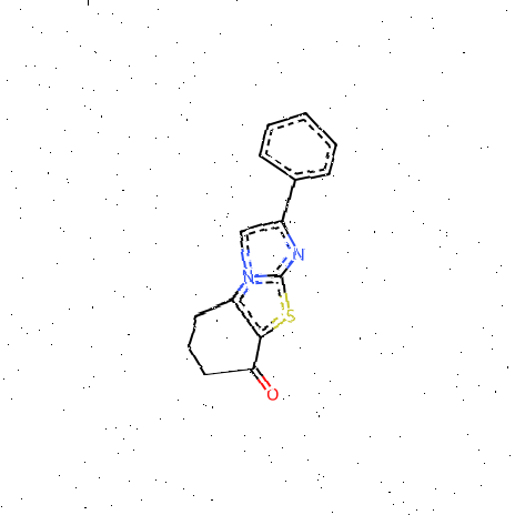 O=C1CCCc2c1sc1nc(-c3ccccc3)cn21